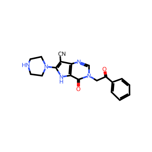 N#Cc1c(N2CCNCC2)[nH]c2c(=O)n(CC(=O)c3ccccc3)cnc12